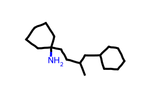 CC(CCC1(N)CCCCC1)CC1CCCCC1